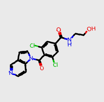 O=C(NCCO)c1cc(Cl)c(C(=O)n2ccc3cnccc32)c(Cl)c1